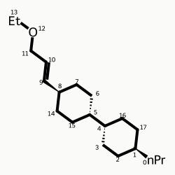 CCC[C@H]1CC[C@H]([C@H]2CC[C@H](C=CCOCC)CC2)CC1